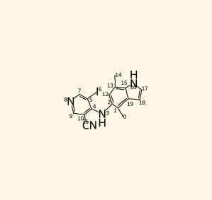 Cc1c(Nc2c(I)cncc2C#N)cc(C)c2[nH]ccc12